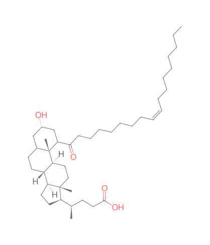 CCCCCCCC/C=C\CCCCCCCC(=O)C1C[C@@H](O)CC2CC[C@@H]3[C@H](CC[C@]4(C)[C@@H]([C@H](C)CCC(=O)O)CC[C@@H]34)[C@]21C